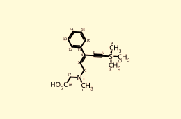 CN(CC=C(C#C[Si](C)(C)C)c1ccccc1)CC(=O)O